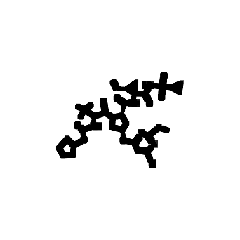 C=C[C@@H]1C[C@]1(NC(=O)[C@@H]1C[C@@H](Oc2cc(Cl)nc(SC)n2)CN1C(=O)[C@@H](NC(=O)OC1CCCC1)C(C)(C)C)C(=O)NS(=O)(=O)C1CC1